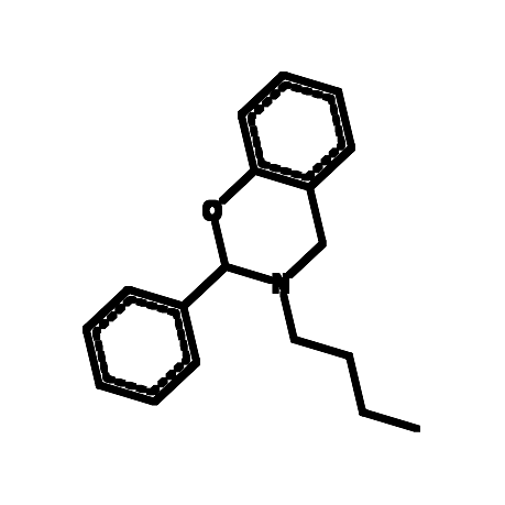 CCCCN1Cc2ccccc2OC1c1ccccc1